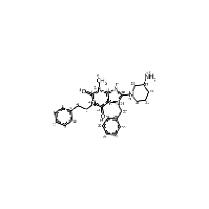 Cn1c(=O)n(CCc2ccccc2)c(=O)c2c1nc(N1CCCC(N)C1)n2Cc1ccccc1